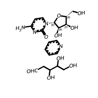 Nc1ccn([C@@H]2O[C@H](CO)[C@@H](O)[C@H]2O)c(=O)n1.O=CCC(O)C(O)CO.c1ccncc1